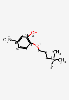 C[Si](C)(C)CCCOc1ccc([N+](=O)[O-])cc1O